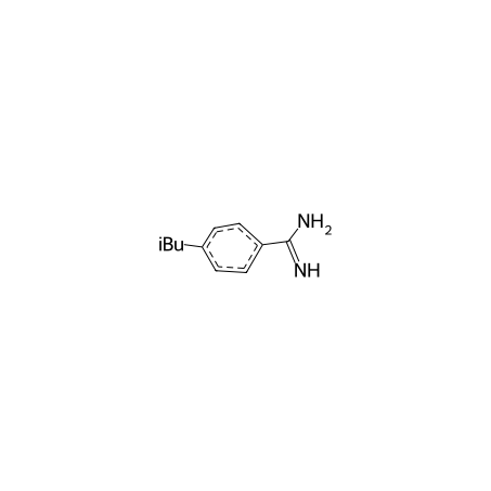 CCC(C)c1ccc(C(=N)N)cc1